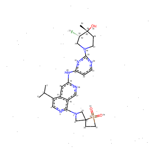 CC(C)c1cnc(N2CC3(CCS3(=O)=O)C2)c2cnc(Nc3ccnc(N4CC[C@@](C)(O)[C@@H](F)C4)n3)cc12